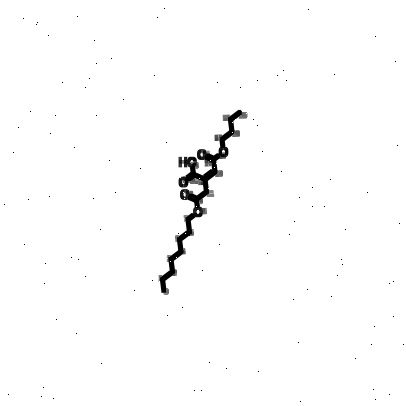 CCCCCCCCOC(=O)CC(=CC(=O)OCCCC)C(=O)O